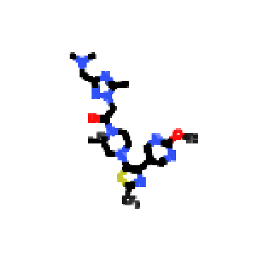 CCOc1ncc(-c2nc(C(F)(F)F)sc2N2CCN(C(=O)Cn3nc(CN(C)C)nc3C)[C@H](C)C2)cn1